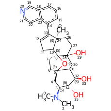 CN(C)[C@H]1C[C@@]23CC[C@]4(O2)C2CC=C(c5cccc6cnccc56)[C@@]2(C)CCC4(O)CC3[C@@H](O)[C@@H]1O